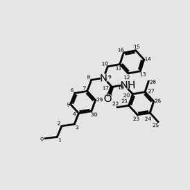 CCCCc1ccc(CN(Cc2ccccc2)C(=O)Nc2c(C)cc(C)cc2C)cc1